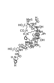 CSCC[C@H](NC(=O)[C@H](CCC(N)=O)NC(=O)[C@H](CCCCN)NC(=O)[C@H](CO)NC(=O)[C@H](CC(C)C)NC(=O)[C@H](CC(=O)O)NC(=O)[C@H](CO)NC(=O)[C@@H](NC(=O)[C@H](Cc1ccccc1)NC(=O)[C@@H](NC(=O)CNC(=O)[C@H](CCC(=O)O)NC(=O)CNC(=O)[C@@H](N)Cc1c[nH]cn1)[C@@H](C)O)[C@@H](C)O)C(=O)N[C@@H](CCC(=O)O)C(=O)O